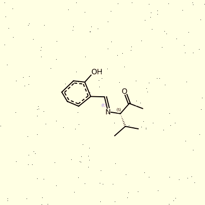 CC(=O)[C@@H](/N=C/c1ccccc1O)C(C)C